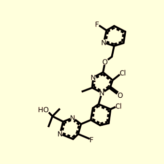 Cc1nc(OCc2cccc(F)n2)c(Cl)c(=O)n1-c1cc(-c2nc(C(C)(C)O)ncc2F)ccc1Cl